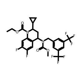 CCOC(=O)N1c2cc(F)c(F)cc2C(N(Cc2cc(C(F)(F)F)cc(C(F)(F)F)c2)C(=O)OC)CC1C1CC1